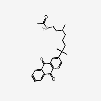 CC(=O)NCCC(C)CCCC(C)(C)c1ccc2c(c1)C(=O)c1ccccc1C2=O